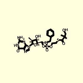 C[C@@H]1C(n2cnc3c(=O)[nH]c(N)nc32)O[C@H](COP(=O)(NCc2ccccc2)OCCSC(=O)C(C)(C)CO)[C@H]1O